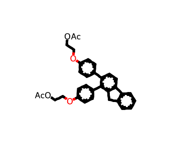 CC(=O)OCCOc1ccc(-c2ccc3c(c2-c2ccc(OCCOC(C)=O)cc2)Cc2ccccc2-3)cc1